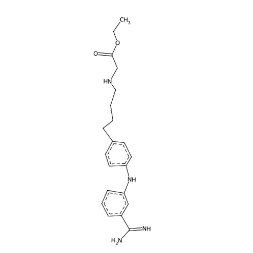 CCOC(=O)CNCCCCc1ccc(Nc2cccc(C(=N)N)c2)cc1